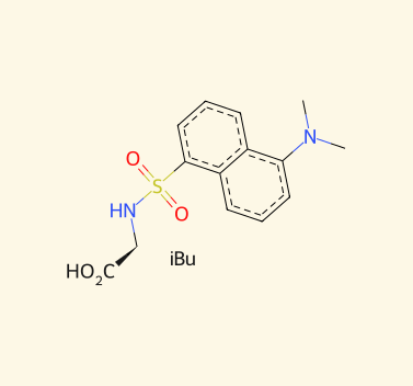 CC[C@H](C)[C@H](NS(=O)(=O)c1cccc2c(N(C)C)cccc12)C(=O)O